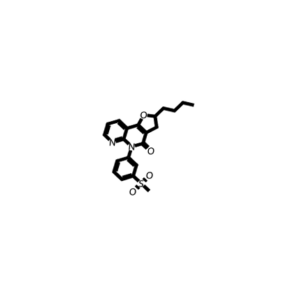 CCCCC1Cc2c(c3cccnc3n(-c3cccc(S(C)(=O)=O)c3)c2=O)O1